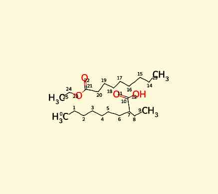 CCCCCCCC(CC)C(=O)O.CCCCCCCCC(=O)OCC